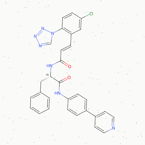 O=C(C=Cc1cc(Cl)ccc1-n1cnnn1)N[C@@H](Cc1ccccc1)C(=O)Nc1ccc(-c2ccncc2)cc1